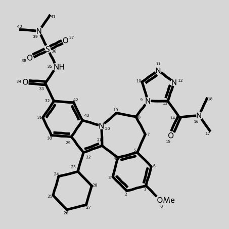 COc1ccc2c(c1)CC(n1cnnc1C(=O)N(C)C)Cn1c-2c(C2CCCCC2)c2ccc(C(=O)NS(=O)(=O)N(C)C)cc21